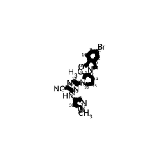 C[C@@H]1[C@H](N2Cc3cc(Br)ccc3C2=O)CCCN1c1cnc(C#N)c(Nc2cnn(C)c2)n1